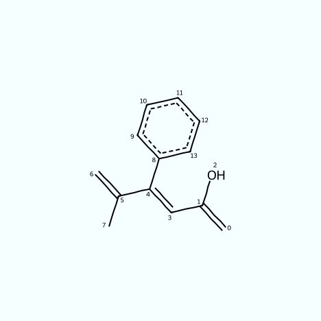 C=C(O)/C=C(/C(=C)C)c1ccccc1